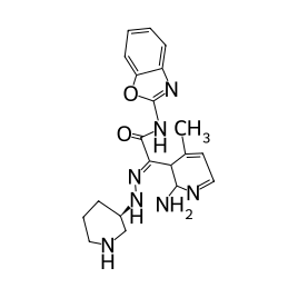 CC1=CC=NC(N)C1/C(=N\N[C@@H]1CCCNC1)C(=O)Nc1nc2ccccc2o1